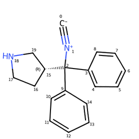 [C-]#[N+]C(c1ccccc1)(c1ccccc1)[C@@H]1CCNC1